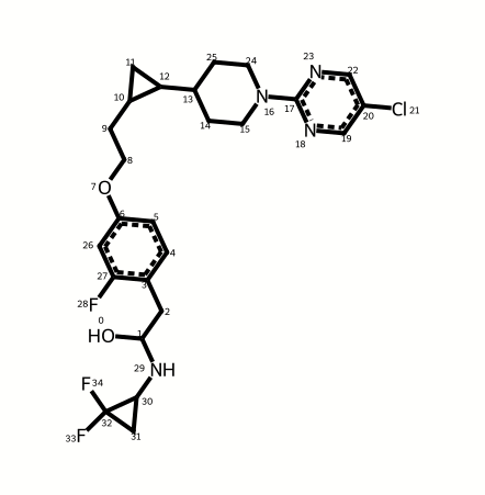 OC(Cc1ccc(OCCC2CC2C2CCN(c3ncc(Cl)cn3)CC2)cc1F)NC1CC1(F)F